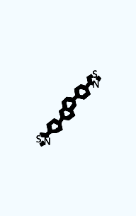 c1nc(-c2ccc(-c3ccc4cc(-c5ccc(-c6cscn6)cc5)ccc4c3)cc2)cs1